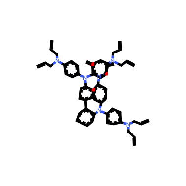 C=CCN(CC=C)c1ccc(N(c2ccc(-c3ccccc3N(c3ccc(N(CC=C)CC=C)cc3)c3ccc(N(CC=C)CC=C)cc3)cc2)c2ccc(N(CC=C)CC=C)cc2)cc1